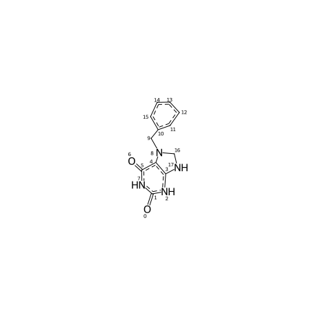 O=c1[nH]c2c(c(=O)[nH]1)N(Cc1ccccc1)CN2